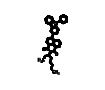 CCCCCC(CC)N1C(=O)c2cccc3c(-c4ccc5c(c4)c4ccccc4n5-c4ccccc4)ccc(c23)C1=O